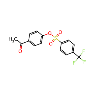 CC(=O)c1ccc(OS(=O)(=O)c2ccc(C(F)(F)F)cc2)cc1